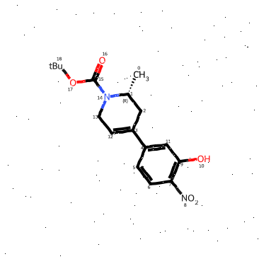 C[C@@H]1CC(c2ccc([N+](=O)[O-])c(O)c2)=CCN1C(=O)OC(C)(C)C